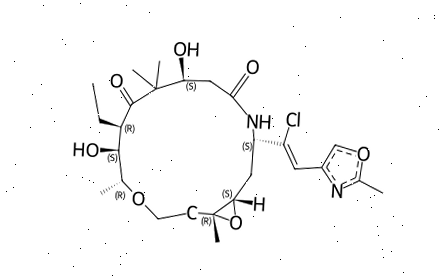 CC[C@H]1C(=O)C(C)(C)[C@@H](O)CC(=O)N[C@H](C(Cl)=Cc2coc(C)n2)C[C@@H]2O[C@]2(C)CCO[C@H](C)[C@H]1O